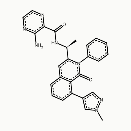 C[C@H](NC(=O)c1nccnc1N)c1cc2cccc(-c3cnn(C)c3)c2c(=O)n1-c1ccccc1